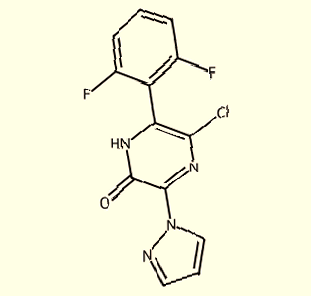 O=c1[nH]c(-c2c(F)cccc2F)c(Cl)nc1-n1cccn1